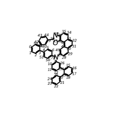 c1ccc(-c2ccc(N(c3cccc(-c4ccccc4-c4ccccc4)c3)c3ccc4ccc5ccc6nc(-c7ccccc7)oc6c5c4c3)cc2)cc1